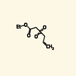 C=CCS(=O)(=O)CC(=O)OCC